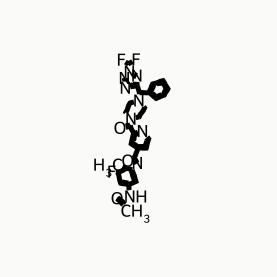 CC(=O)NC1=CC(F)C2(C)OC(c3ccnc(C(=O)N4CCN(C(c5ccccc5)c5nnn(C(F)F)n5)CC4)c3)=NC2=C1